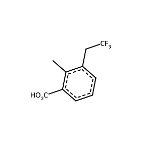 Cc1c(CC(F)(F)F)cccc1C(=O)O